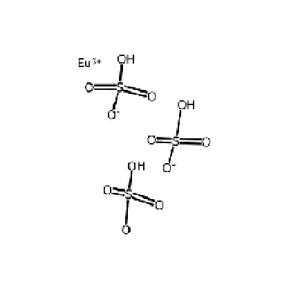 O=S(=O)([O-])O.O=S(=O)([O-])O.O=S(=O)([O-])O.[Eu+3]